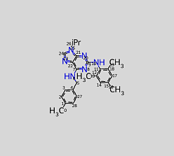 Cc1ccc(CNc2nc(Nc3c(C)cc(C)cc3C)nc3c2ncn3C(C)C)cc1